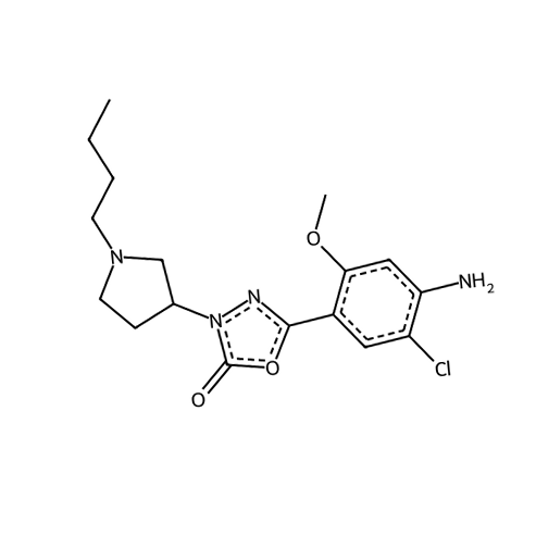 CCCCN1CCC(n2nc(-c3cc(Cl)c(N)cc3OC)oc2=O)C1